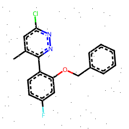 Cc1cc(Cl)nnc1-c1ccc(F)cc1OCc1ccccc1